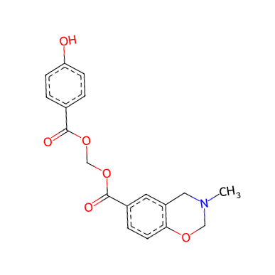 CN1COc2ccc(C(=O)OCOC(=O)c3ccc(O)cc3)cc2C1